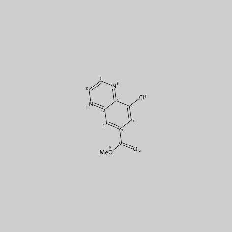 COC(=O)c1cc(Cl)c2nccnc2c1